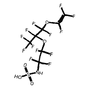 O=S(=O)(O)NC(F)(F)C(F)(F)OC(F)(C(F)(F)F)C(F)(F)OC(F)=C(F)F